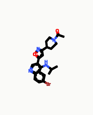 CC(=O)N1CCC(c2cc(-c3cnc4ccc(Br)cc4c3NC(C)C)on2)CC1